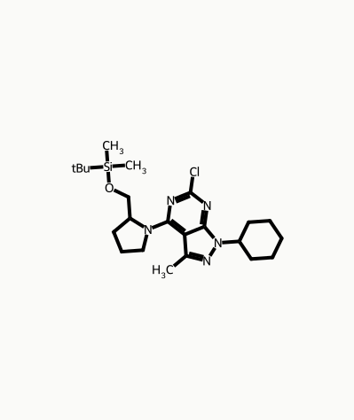 Cc1nn(C2CCCCC2)c2nc(Cl)nc(N3CCCC3CO[Si](C)(C)C(C)(C)C)c12